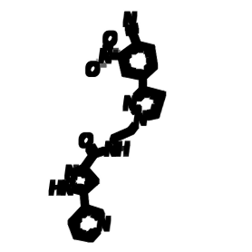 N#Cc1ccc(-c2ccn(CCNC(=O)c3cc(-c4cccnc4)[nH]n3)n2)cc1[N+](=O)[O-]